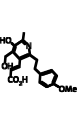 COc1ccc(CCc2nc(C)c(O)c(CO)c2C=CC(=O)O)cc1